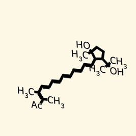 CC(=O)C(C)=C(C)C=CC=CC=CC=CC=CC1C(C(C)(C)O)CCC1(C)O